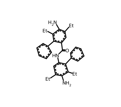 CCc1cc(NC(=O)c2cc(CC)c(N)c(CC)c2-c2ccccc2)c(-c2ccccc2)c(CC)c1N